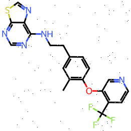 Cc1cc(CCNc2ncnc3scnc23)ccc1Oc1cnccc1C(F)(F)F